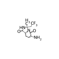 CC1(CC(F)(F)F)NC(=O)c2ccc(N)c(=O)n21